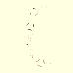 O=C(CNCc1ccc(Oc2ccc(CO)cn2)cc1)N1CCN(Cc2ccc3c(c2)OCO3)CC1